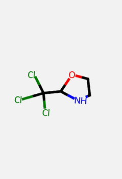 ClC(Cl)(Cl)C1NCCO1